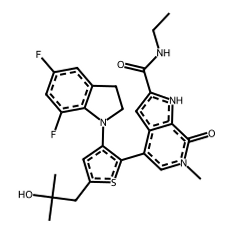 CCNC(=O)c1cc2c(-c3sc(CC(C)(C)O)cc3N3CCc4cc(F)cc(F)c43)cn(C)c(=O)c2[nH]1